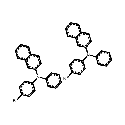 Brc1ccc(N(c2ccccc2)c2ccc3ccccc3c2)cc1.Brc1ccc(N(c2ccccc2)c2ccc3ccccc3c2)cc1